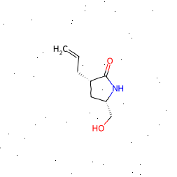 C=CC[C@H]1C[C@@H](CO)NC1=O